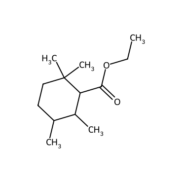 CCOC(=O)C1C(C)C(C)CCC1(C)C